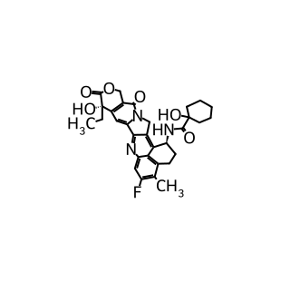 CC[C@@]1(O)C(=O)OCc2c1cc1n(c2=O)Cc2c-1nc1cc(F)c(C)c3c1c2[C@@H](NC(=O)C1(O)CCCCC1)CC3